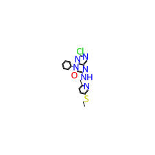 CCSc1ccc(CNc2nc3cnc(Cl)nc3n(-c3ccccc3)c2=O)nc1